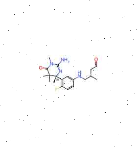 CC(CC=O)CNc1ccc(F)c([C@@]2(C)N=C(N)N(C)C(=O)C2(C)C)c1